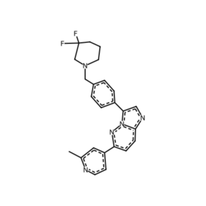 Cc1cc(-c2ccc3ncc(-c4ccc(CN5CCCC(F)(F)C5)cc4)n3n2)ccn1